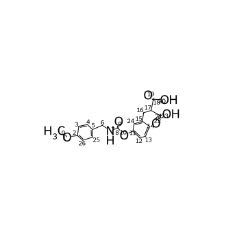 COc1ccc(CNC(=O)Oc2cccc(CC(C(=O)O)C(=O)O)c2)cc1